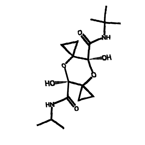 CC(C)NC(=O)[C@@]1(O)OC2(CC2)[C@@](O)(C(=O)NC(C)(C)C)OC12CC2